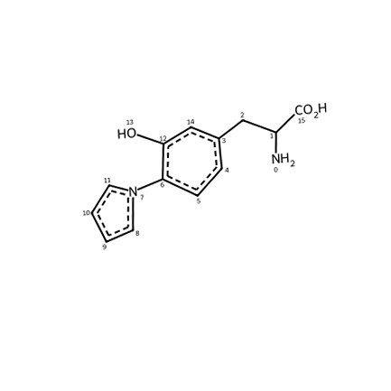 NC(Cc1ccc(-n2cccc2)c(O)c1)C(=O)O